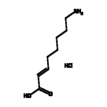 Cl.NCCCCCC=CC(=O)O